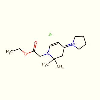 CCOC(=O)CN1C=CC(=[N+]2CCCC2)CC1(C)C.[Br-]